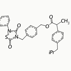 CC(C)Cc1ccc(C(C)C(=O)OCc2ccc(Cn3c(=O)sn(-c4ccccc4)c3=O)cc2)cc1